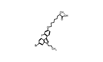 CCCn1nc(-c2ccc(OCCCCCCN(C)C(=O)O)cc2F)c2ccc(Br)cc21